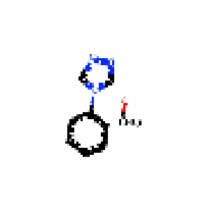 O=CO.c1ccc(-n2cnnc2)cc1